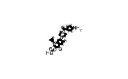 Nc1ccc(C(=O)N2CCN(c3cc4c(cc3F)c(=O)c(OC(=O)O)cn4C3CC3)CC2)cc1